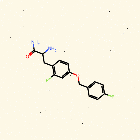 NC(=O)C(N)Cc1ccc(OCc2ccc(F)cc2)cc1F